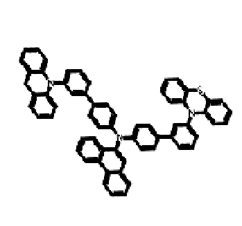 c1cc(-c2ccc(N(c3ccc(-c4cccc(N5c6ccccc6Sc6ccccc65)c4)cc3)c3cc4ccccc4c4ccccc34)cc2)cc(N2c3ccccc3Cc3ccccc32)c1